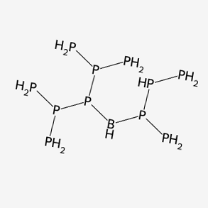 PPP(P)BP(P(P)P)P(P)P